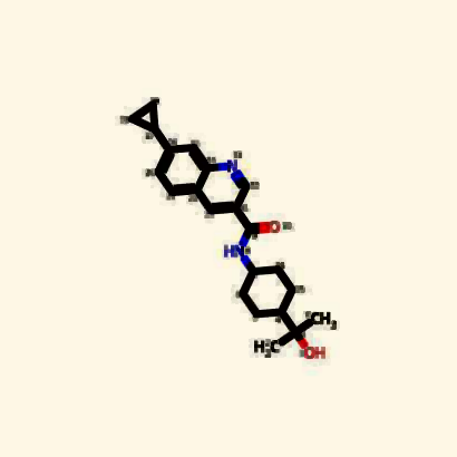 CC(C)(O)C1CCC(NC(=O)c2cnc3cc(C4CC4)ccc3c2)CC1